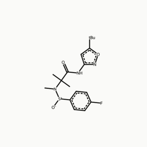 CN([S+]([O-])c1ccc(F)cc1)C(C)(C)C(=O)Nc1cc(C(C)(C)C)on1